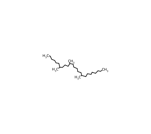 CCCCCCCCC(C)CCCCCC(C)CCCC(C)CCCCCC